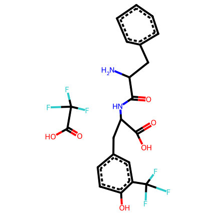 NC(Cc1ccccc1)C(=O)NC(Cc1ccc(O)c(C(F)(F)F)c1)C(=O)O.O=C(O)C(F)(F)F